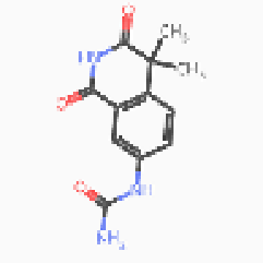 CC1(C)C(=O)NC(=O)c2cc(NC(N)=O)ccc21